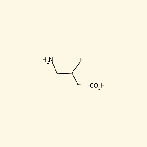 NCC(F)CC(=O)O